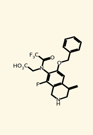 C=C1CNCc2c1cc(OCc1ccccc1)c(N(CC(=O)O)C(=O)C(F)(F)F)c2F